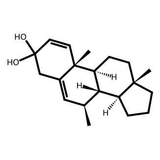 C[C@H]1C=C2CC(O)(O)C=C[C@]2(C)[C@H]2CC[C@]3(C)CCC[C@H]3[C@H]12